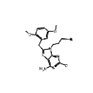 C#CCCCn1c(Cc2cc(OC)ccc2OC)nc2c(N)nc(Cl)nc21